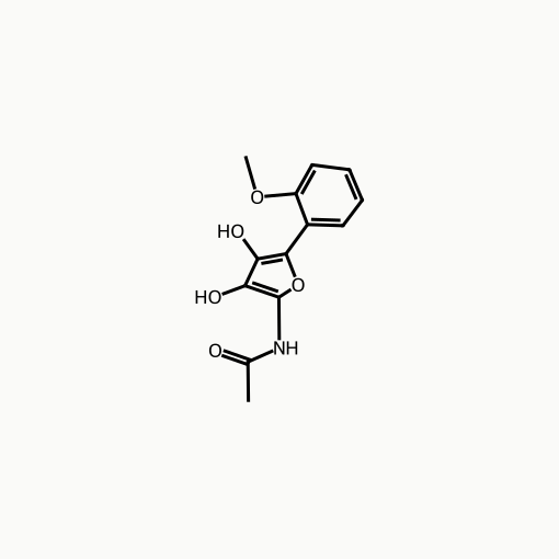 COc1ccccc1-c1oc(NC(C)=O)c(O)c1O